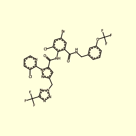 O=C(NCc1cccc(OC(F)(F)F)c1)c1cc(Br)cc(Cl)c1NC(=O)c1cc(Cn2nnc(C(F)(F)F)n2)nn1-c1ncccc1Cl